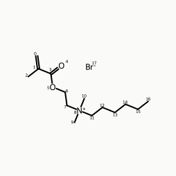 C=C(C)C(=O)OCC[N+](C)(C)CCCCCC.[Br-]